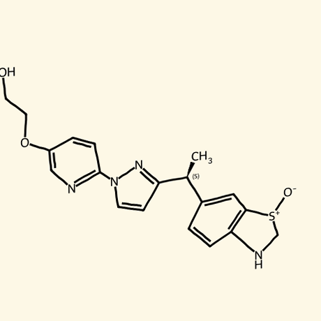 C[C@@H](c1ccc2c(c1)[S+]([O-])CN2)c1ccn(-c2ccc(OCCO)cn2)n1